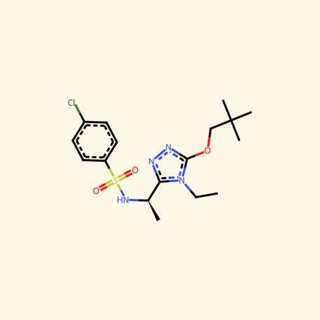 CCn1c(OCC(C)(C)C)nnc1[C@@H](C)NS(=O)(=O)c1ccc(Cl)cc1